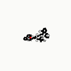 Cc1c(Br)sc2c1c(=O)n(C(C)(C)C(=O)CC(C)(C)[Si](O)(c1ccccc1)c1ccccc1)c(=O)n2CC(OC1CCOCC1)c1ccccc1Cl